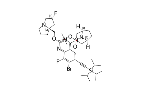 CC(C)[Si](C#Cc1cc2c(N3C[C@H]4CC[C@@H](C3)N4C(=O)OC(C)(C)C)nc(OC[C@@]34CCCN3C[C@H](F)C4)nc2c(F)c1Br)(C(C)C)C(C)C